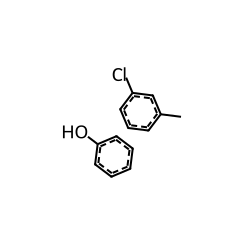 Cc1cccc(Cl)c1.Oc1ccccc1